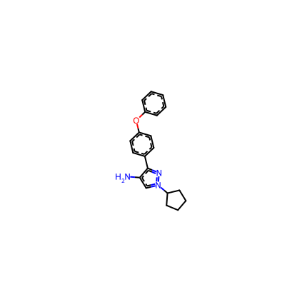 Nc1cn(C2CCCC2)nc1-c1ccc(Oc2ccccc2)cc1